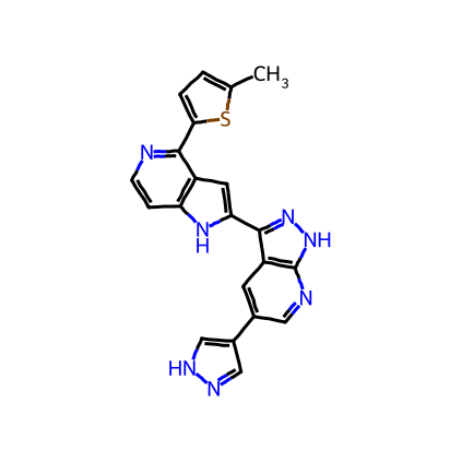 Cc1ccc(-c2nccc3[nH]c(-c4n[nH]c5ncc(-c6cn[nH]c6)cc45)cc23)s1